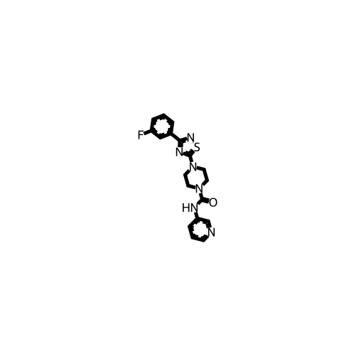 O=C(Nc1cccnc1)N1CCN(c2nc(-c3cccc(F)c3)ns2)CC1